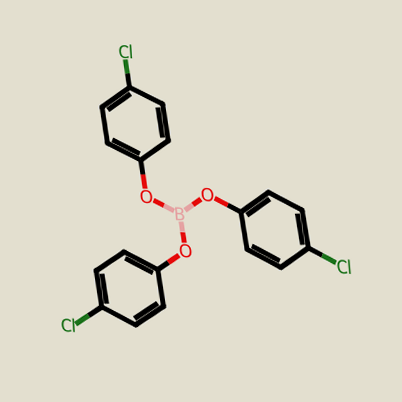 Clc1ccc(OB(Oc2ccc(Cl)cc2)Oc2ccc(Cl)cc2)cc1